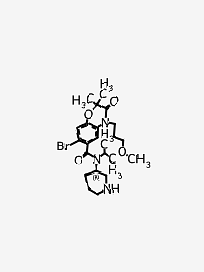 COCCCN1C(=O)C(C)(C)Oc2cc(Br)c(C(=O)N(C(C)C)[C@@H]3CCCNC3)cc21